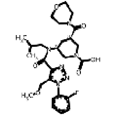 COCc1c(C(=O)N(CC(C)C)[C@H]2C[C@@H](C(=O)N3CCOCC3)CN(C(=O)O)C2)nnn1-c1ccccc1F